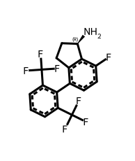 N[C@@H]1CCc2c(-c3c(C(F)(F)F)cccc3C(F)(F)F)ccc(F)c21